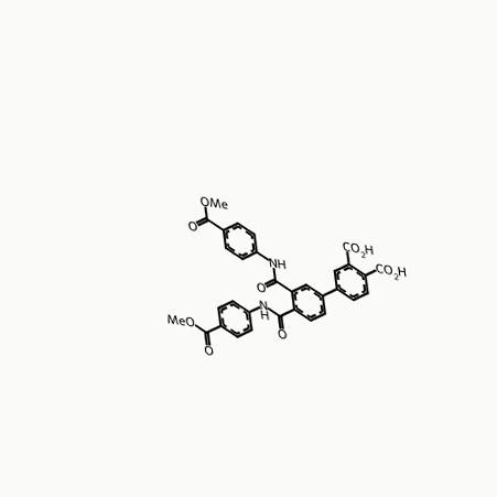 COC(=O)c1ccc(NC(=O)c2ccc(-c3ccc(C(=O)O)c(C(=O)O)c3)cc2C(=O)Nc2ccc(C(=O)OC)cc2)cc1